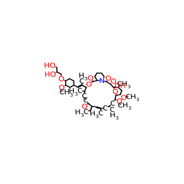 CCC1/C=C(\C)CC(C)CC(OC)C2OC(O)(C(=O)C(=O)N3CCCCC3C(=O)OC(C(C)=CC3CCC(OCC(O)CO)C(OC)C3)C(C)CCC1=O)C(C)CC2OC